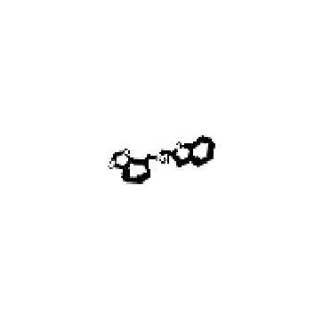 c1cc(CNCc2cc3ccccc3s2)c2c(c1)OCO2